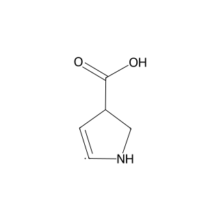 O=C(O)C1C=[C]NC1